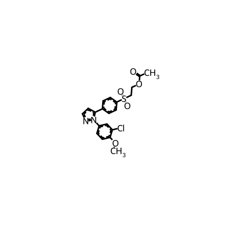 COc1ccc(-n2nccc2-c2ccc(S(=O)(=O)CCOC(C)=O)cc2)cc1Cl